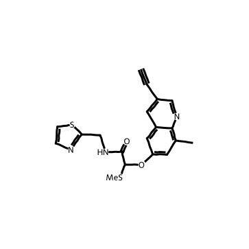 C#Cc1cnc2c(C)cc(OC(SC)C(=O)NCc3nccs3)cc2c1